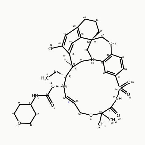 CC[C@H]1[C@@H](OC(=O)NC2CCOCC2)/C=C/COC(C)(C)C(=O)NS(=O)(=O)c2ccc3c(c2)N2C[C@@H]1c1cc4c(cc1Cl)CCC[C@@]4(CO3)C2